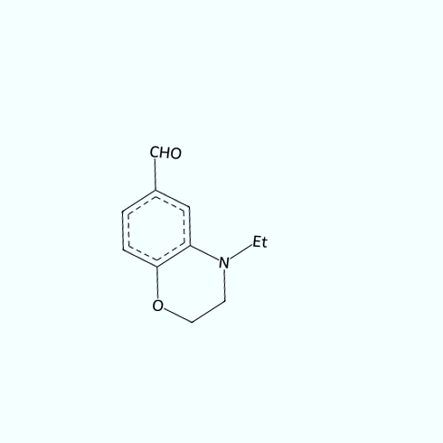 CCN1CCOc2ccc(C=O)cc21